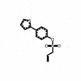 C=CCS(=O)(=O)Oc1ccc(-c2cccs2)cc1